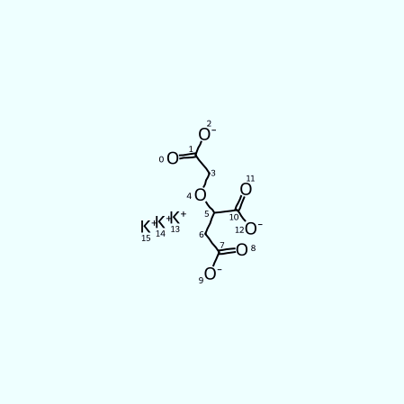 O=C([O-])COC(CC(=O)[O-])C(=O)[O-].[K+].[K+].[K+]